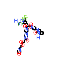 Nc1c(Cl)cc(C[C@@H](OC(=O)N2CCC(N3CCc4ccccc4NC3=O)CC2)C(=O)N2CCC(N3CCN(C(=O)CCC(=O)OCCCN4CCOCC4)CC3)CC2)cc1C(F)(F)F